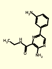 CCNC(=O)c1nc(-c2cccc(N)c2)cnc1N